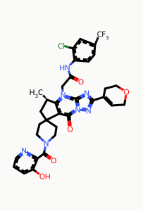 C[C@@H]1CC2(CCN(C(=O)c3ncccc3O)CC2)c2c1n(CC(=O)Nc1ccc(C(F)(F)F)cc1Cl)c1nc(C3=CCOCC3)nn1c2=O